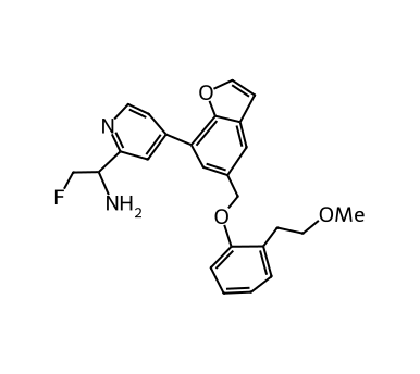 COCCc1ccccc1OCc1cc(-c2ccnc(C(N)CF)c2)c2occc2c1